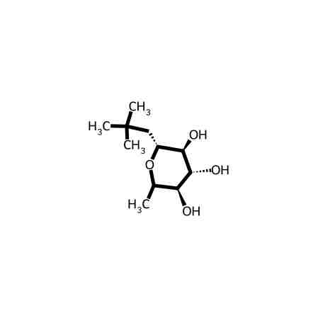 CC1O[C@H](CC(C)(C)C)[C@@H](O)[C@H](O)[C@H]1O